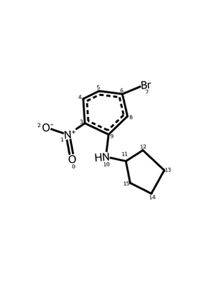 O=[N+]([O-])c1ccc(Br)cc1NC1CCCC1